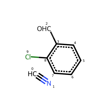 C#N.O=Cc1ccccc1Cl